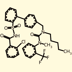 CCCCCN(Cc1ccc(-c2ccccc2S(=O)(=O)NC(=O)c2ccccc2Cl)cc1)C(=O)N(C)c1ccccc1C(F)(F)F